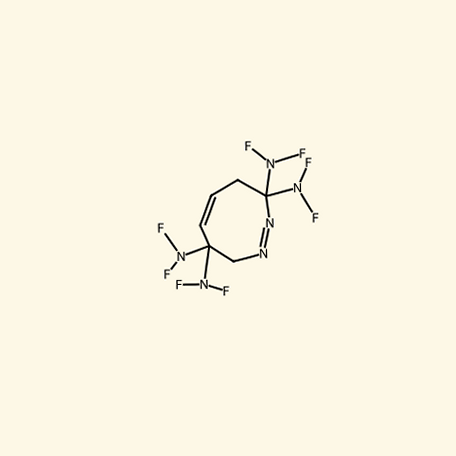 FN(F)C1(N(F)F)/C=C\CC(N(F)F)(N(F)F)/N=N\C1